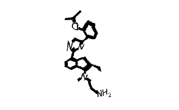 CC(C)Oc1ccccc1C1=NC(c2cccc3c2C[C@@H](C)[C@H]3N(C)CCN)=NC1